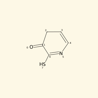 O=C1CC=CN=C1S